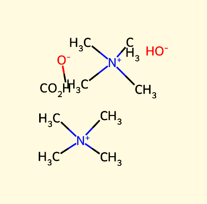 C[N+](C)(C)C.C[N+](C)(C)C.O=C([O-])O.[OH-]